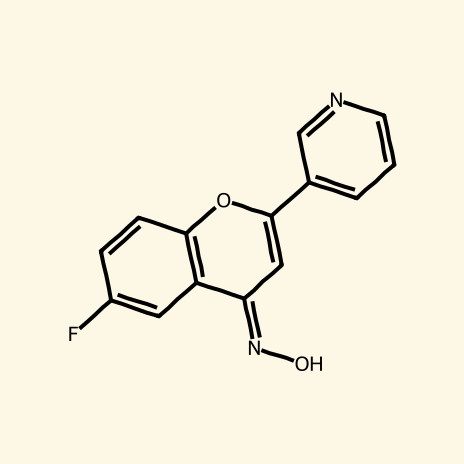 ON=c1cc(-c2cccnc2)oc2ccc(F)cc12